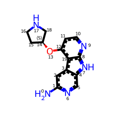 Nc1cc2c(cn1)[nH]c1nccc(O[C@H]3CCNC3)c12